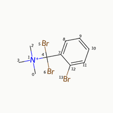 C[N+](C)(C)C(Br)(Br)c1ccccc1Br